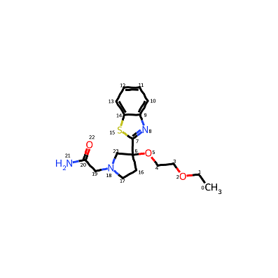 CCOCCOC1(c2nc3ccccc3s2)CCN(CC(N)=O)C1